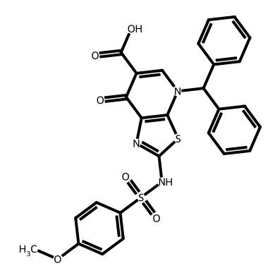 COc1ccc(S(=O)(=O)Nc2nc3c(=O)c(C(=O)O)cn(C(c4ccccc4)c4ccccc4)c3s2)cc1